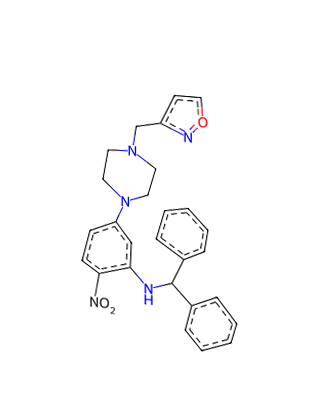 O=[N+]([O-])c1ccc(N2CCN(Cc3ccon3)CC2)cc1NC(c1ccccc1)c1ccccc1